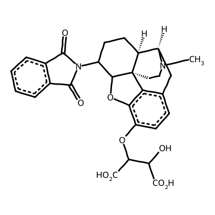 CN1CC[C@]23c4c5ccc(OC(C(=O)O)C(O)C(=O)O)c4OC2C(N2C(=O)c4ccccc4C2=O)CC[C@H]3[C@H]1C5